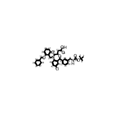 CC(C)(C)OC(=O)NCc1cccc(C2OC(CC(=O)O)C(=O)N(Cc3ccccc3OCc3ccccc3)c3ccc(Cl)cc32)c1